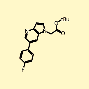 CC(C)(C)OC(=O)Cn1ccc2ncc(-c3ccc(F)cc3)cc21